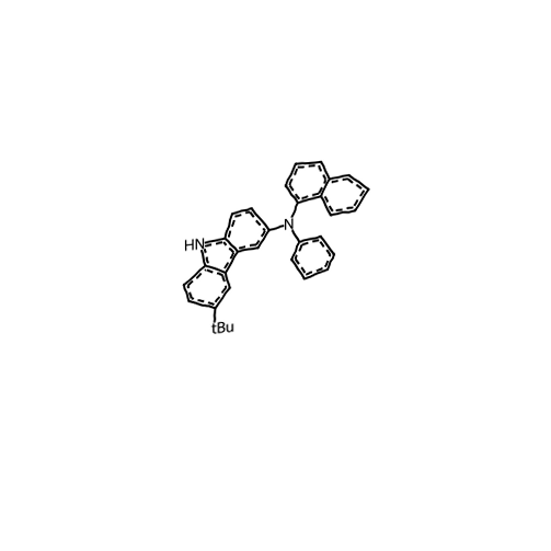 CC(C)(C)c1ccc2[nH]c3ccc(N(c4ccccc4)c4cccc5ccccc45)cc3c2c1